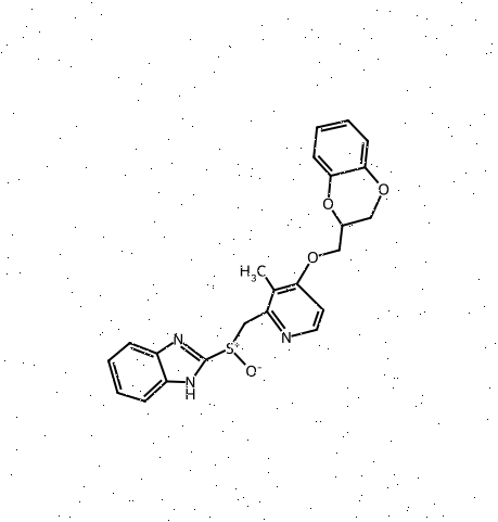 Cc1c(OCC2COc3ccccc3O2)ccnc1C[S+]([O-])c1nc2ccccc2[nH]1